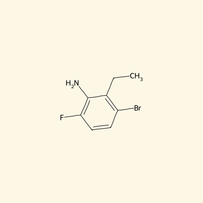 CCc1c(Br)ccc(F)c1N